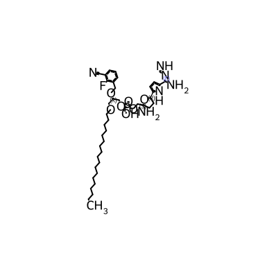 CCCCCCCCCCCCCCCCCCOC[C@H](COP(=O)(O)OC[C@]1(N)CC[C@H](c2ccc(/C(N)=N\C=N)[nH]2)O1)OCc1cccc(C#N)c1F